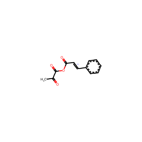 CC(=O)C(=O)OC(=O)/C=C/c1ccccc1